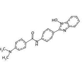 CN(C)c1ccc(C(=O)Nc2ccc(-c3nc4ccccc4n3O)cc2)cc1